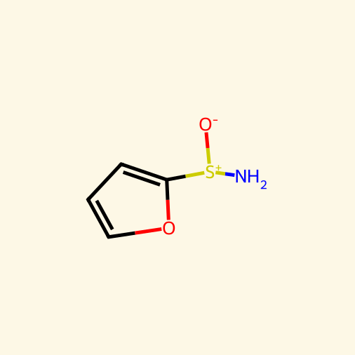 N[S+]([O-])c1ccco1